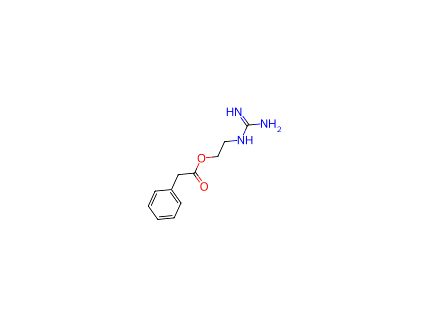 N=C(N)NCCOC(=O)Cc1ccccc1